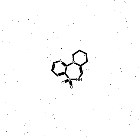 O=S1(=O)NC=C2CCCCN2c2ncccc21